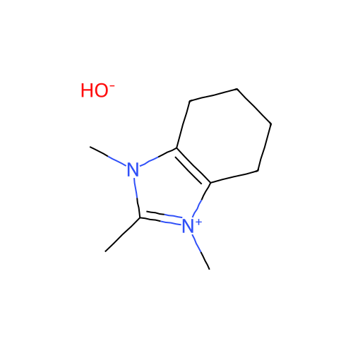 Cc1n(C)c2c([n+]1C)CCCC2.[OH-]